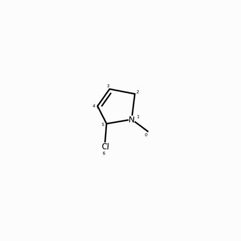 CN1CC=[C]C1Cl